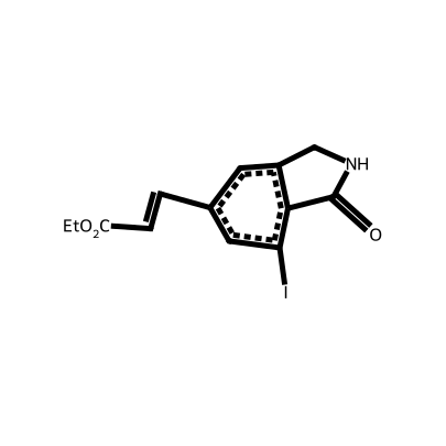 CCOC(=O)/C=C/c1cc(I)c2c(c1)CNC2=O